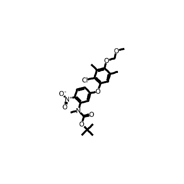 COCOc1c(C)cc(Oc2ccc([N+](=O)[O-])c(N(C)C(=O)OC(C)(C)C)c2)c(Cl)c1C